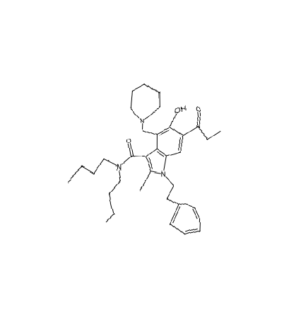 CCCCN(CCCC)C(=O)c1c(C)n(CCc2ccccc2)c2cc(C(=O)CC)c(O)c(CN3CCCCC3)c12